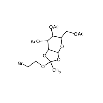 CC(=O)OCC1OC2OC(C)(OCCBr)OC2C(OC(C)=O)C1OC(C)=O